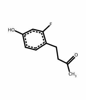 CC(=O)CCc1ccc(O)cc1F